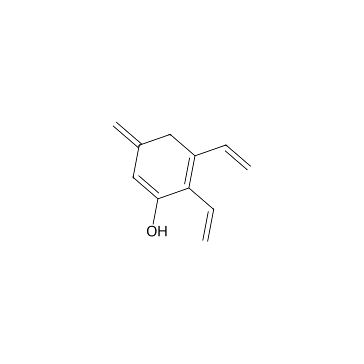 C=CC1=C(C=C)C(O)=CC(=C)C1